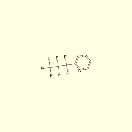 FC(F)(F)C(F)(F)C(F)(F)c1[c]cccn1